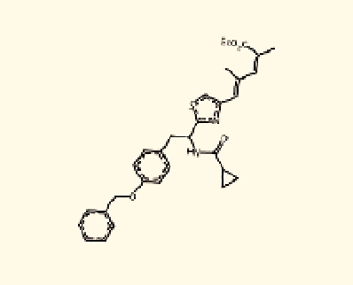 CCOC(=O)/C(C)=C\C(C)=C\c1csc([C@H](Cc2ccc(OCc3ccccc3)cc2)NC(=O)C2CC2)n1